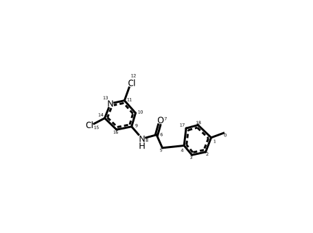 Cc1ccc(CC(=O)Nc2cc(Cl)nc(Cl)c2)cc1